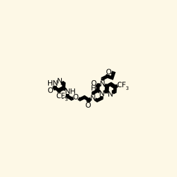 C[C@@H](COCCC(=O)N1CCN2c3ncc(C(F)(F)F)cc3N(CC3CCO3)C(=O)[C@@H]2C1)Nc1cn[nH]c(=O)c1C(F)(F)F